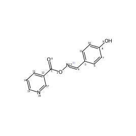 O=C(O/N=C/c1ccc(O)cc1)c1cccnc1